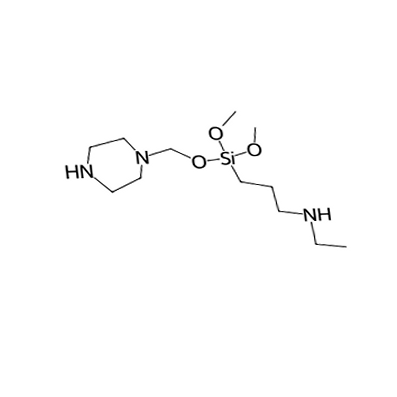 CCNCCC[Si](OC)(OC)OCN1CCNCC1